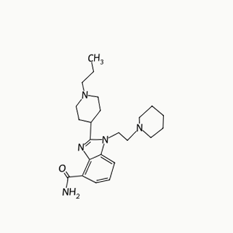 CCCN1CCC(c2nc3c(C(N)=O)cccc3n2CCN2CCCCC2)CC1